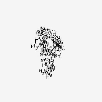 CO[C@@H]1[C@H](OP(=O)(O)OC[C@H]2O[C@@H](n3cnc4c(=O)[nH]c(N)nc43)[C@H](O)[C@@H]2O)C([C@H](C)OP(=O)(O)OP(=O)(O)OP(=O)(O)OC[C@H]2O[C@@H](n3c[n+](C)c4c(=O)[nH]c(N)nc43)[C@H](O)[C@@H]2O)O[C@H]1n1cnc2c(N)ncnc21